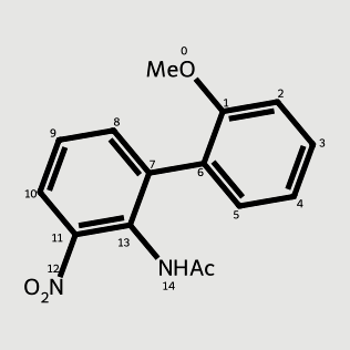 COc1ccccc1-c1cccc([N+](=O)[O-])c1NC(C)=O